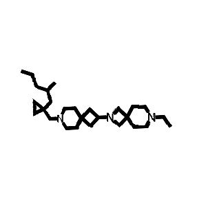 CCCC(C)CC1(CN2CCC3(CC2)CC(N2CC4(CCN(CC)CC4)C2)C3)CC1